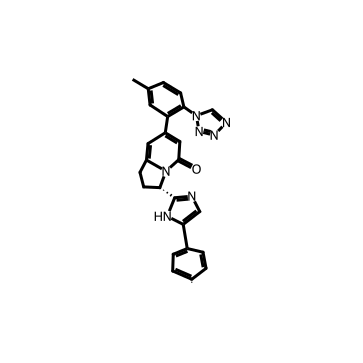 Cc1ccc(-n2cnnn2)c(-c2cc3n(c(=O)c2)[C@H](c2ncc(-c4cc[c]cc4)[nH]2)CC3)c1